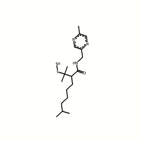 Cc1cnc(CNC(=O)C(CCCCC(C)C)C(C)(C)SS)cn1